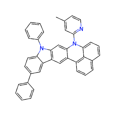 Cc1ccnc(N2c3cc4c(cc3-c3cccc5cccc2c35)c2cc(-c3ccccc3)ccc2n4-c2ccccc2)c1